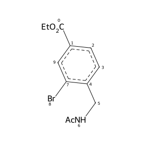 CCOC(=O)c1ccc(CNC(C)=O)c(Br)c1